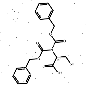 O=C(O)[C@H](CS)N(C(=O)OCc1ccccc1)C(=O)OCc1ccccc1